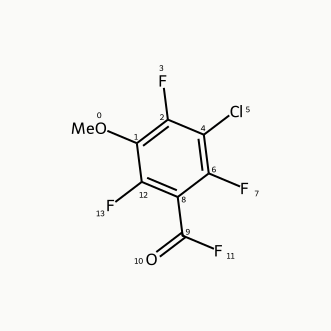 COc1c(F)c(Cl)c(F)c(C(=O)F)c1F